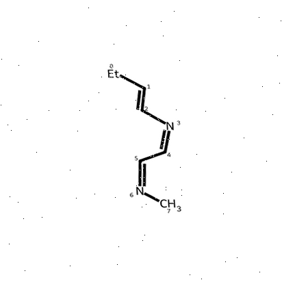 CC/C=C/N=C\C=N/C